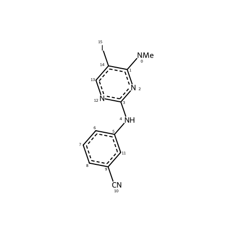 CNc1nc(Nc2cccc(C#N)c2)ncc1I